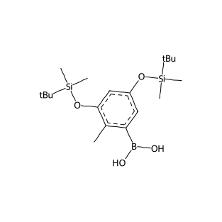 Cc1c(O[Si](C)(C)C(C)(C)C)cc(O[Si](C)(C)C(C)(C)C)cc1B(O)O